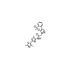 Cc1nc(C)c(-c2csc(NC(=O)Cn3cc(-c4ccccc4S(C)(=O)=O)cn3)n2)s1